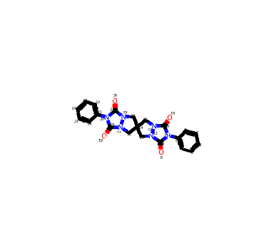 O=c1n(-c2ccccc2)c(=O)n2n1CC1(C2)Cn2c(=O)n(-c3ccccc3)c(=O)n2C1